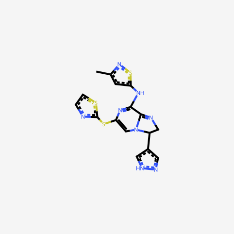 Cc1cc(NC2=NC(Sc3nccs3)=CN3C2=NCC3c2cn[nH]c2)sn1